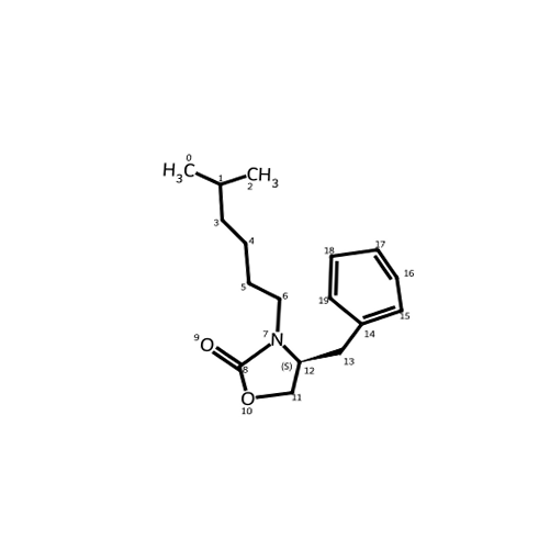 CC(C)CCCCN1C(=O)OC[C@@H]1Cc1ccccc1